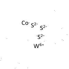 [Co].[S-2].[S-2].[S-2].[W+6]